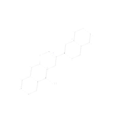 C/C=C(\CC1CCC2CCCCC2C1C)C1CCC2C[C@@H](I)CCC2C1